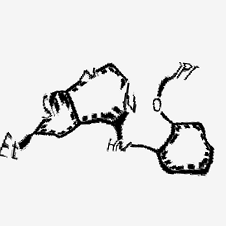 CCc1cc2c(Nc3ccccc3OC(C)C)ncnc2s1